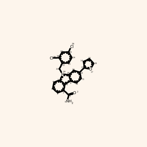 NC(=O)c1cccc2c1c1[c]cc(-c3ccco3)cc1n2Cc1ccc(Cl)cc1Cl